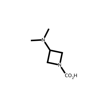 CN(C)C1CN(C(=O)O)C1